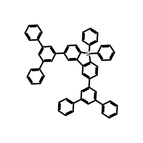 c1ccc(-c2cc(-c3ccccc3)cc(-c3ccc4c(c3)-c3cc(-c5cc(-c6ccccc6)cc(-c6ccccc6)c5)ccc3[Si]4(c3ccccc3)c3ccccc3)c2)cc1